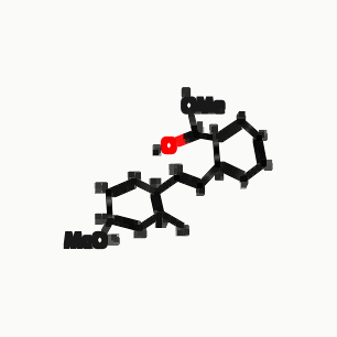 COC(=O)c1ccccc1/C=C/c1ccc(OC)cc1C